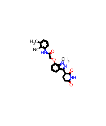 Cc1cccc(NC(=O)COc2cccc3c(C4CCC(=O)NC4=O)nn(C)c23)c1C#N